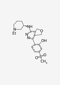 CCN1CCC[C@@H](Nc2nnc(-c3ccc(S(C)(=O)=O)cc3O)c3c2COC3)C1